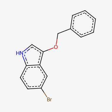 Brc1ccc2[nH]cc(OCc3ccccc3)c2c1